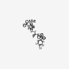 COC(=O)c1cn(CCC(F)COS(=O)(=O)c2ccc(C)cc2)nn1